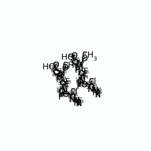 COCCn1c(Cc2c(F)cc(-c3ccc(F)c(OCc4cnc(-n5ccnn5)cc4Cl)n3)c(F)c2F)nc2ccc(C(=O)O)cc21.COCCn1c(Cc2c(F)cc(-c3ccc(F)c(OCc4cnc(-n5ccnn5)cc4Cl)n3)c(F)c2F)nc2ccc(C(=O)O)cc21